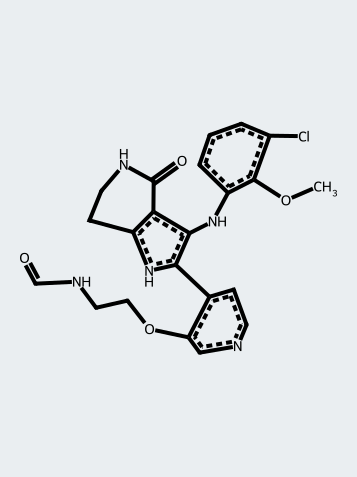 COc1c(Cl)cccc1Nc1c(-c2ccncc2OCCNC=O)[nH]c2c1C(=O)NCC2